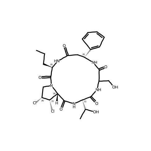 CCC[C@H]1NC(=O)C[C@H](c2ccccc2)NC(=O)C(CO)NC(=O)[C@H](C(C)O)NC(=O)[C@@H]2[C@H](Cl)[C@H](Cl)CN2C1=O